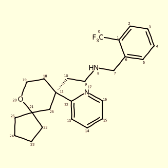 FC(F)(F)c1ccccc1CNCC[C@@]1(c2ccccn2)CCOC2(CCCC2)C1